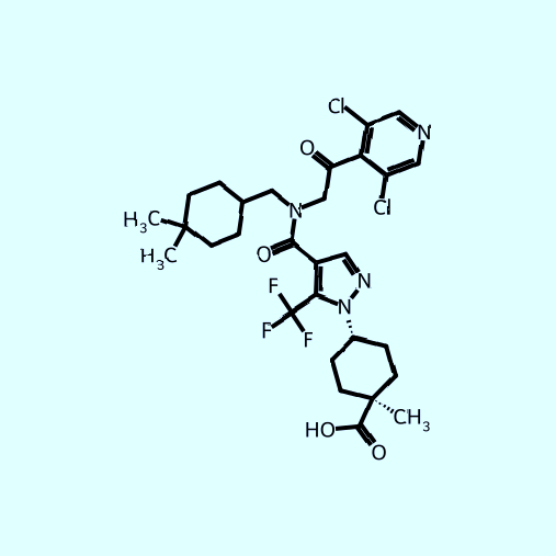 CC1(C)CCC(CN(CC(=O)c2c(Cl)cncc2Cl)C(=O)c2cnn([C@H]3CC[C@](C)(C(=O)O)CC3)c2C(F)(F)F)CC1